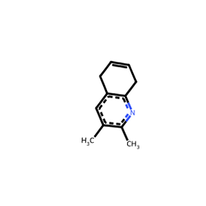 Cc1cc2c(nc1C)CC=CC2